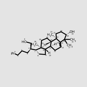 CC(C)CCC[C@@H](CO)[C@H]1CC[C@H]2[C@@H]3CC=C4C(C)(C)[C@@H](O)CC[C@]4(C)[C@H]3CC[C@]12C